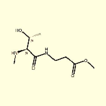 CN[C@H](C(=O)NCCC(=O)OC)[C@@H](C)O